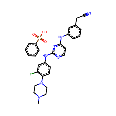 CN1CCN(c2ccc(Nc3nccc(Nc4cccc(CC#N)c4)n3)cc2F)CC1.O=S(=O)(O)c1ccccc1